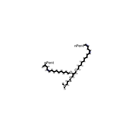 CCCCC/C=C\C/C=C\CCCCCCCCOCC(CSSCCN(C)C)OCCCCCCCC/C=C\CC(C)CCCCC